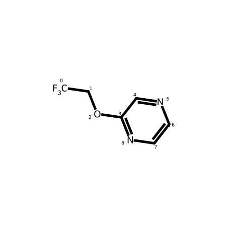 FC(F)(F)COc1cn[c]cn1